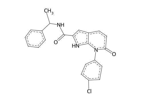 CC(NC(=O)c1cc2ccc(=O)n(-c3ccc(Cl)cc3)c2[nH]1)c1ccccc1